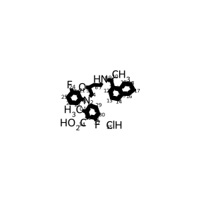 Cc1c(N2CC(CCN[C@H](C)c3cccc4ccccc34)Oc3c(F)cccc32)ccc(F)c1C(=O)O.Cl